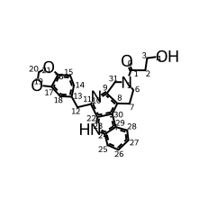 O=C(CCO)N1CCc2c(nc(Cc3ccc4c(c3)OCO4)c3[nH]c4ccccc4c23)C1